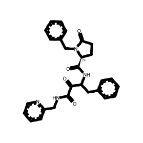 O=C(NCc1ccccn1)C(=O)C(Cc1ccccc1)NC(=O)[C@@H]1CCC(=O)N1Cc1ccccc1